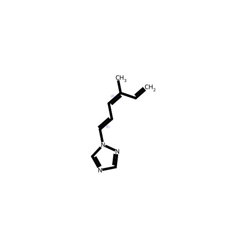 C=C/C(C)=C\C=C\n1cncn1